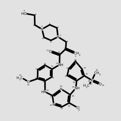 C=C(CN1CCN(CCO)CC1)C(=O)Nc1ccc(OC)c(Nc2ncc(Cl)c(Nc3ccccc3P(C)(C)=O)n2)c1